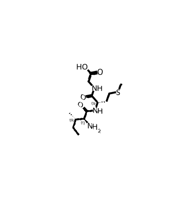 CC[C@H](C)[C@H](N)C(=O)N[C@@H](CCSC)C(=O)NCC(=O)O